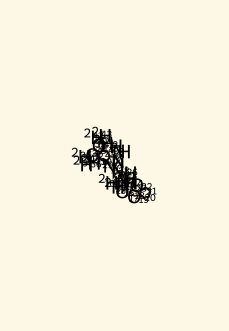 [2H]N([2H])c1nc(N2CC([2H])([2H])N(C(=O)C3([2H])COc4ccccc4O3)C([2H])([2H])C2)nc2cc(OC([2H])([2H])[2H])c(OC([2H])([2H])[2H])cc12